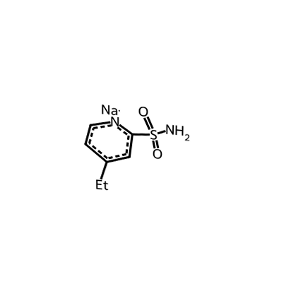 CCc1ccnc(S(N)(=O)=O)c1.[Na]